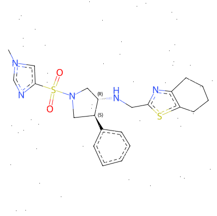 Cn1cnc(S(=O)(=O)N2C[C@H](NCc3nc4c(s3)CCCC4)[C@@H](c3ccccc3)C2)c1